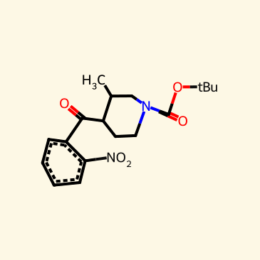 CC1CN(C(=O)OC(C)(C)C)CCC1C(=O)c1ccccc1[N+](=O)[O-]